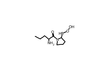 CCCC(N)C(=O)N1CCCC1BOO